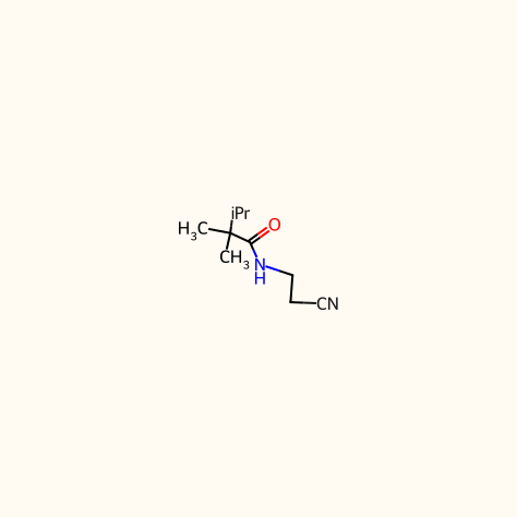 CC(C)C(C)(C)C(=O)NCCC#N